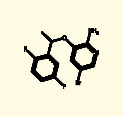 CC(Oc1cc(Br)cnc1N)c1cc(F)ccc1F